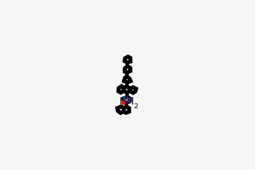 C=C(/C=C\C(=C/N)c1c2ccccc2c(-c2ccc(-c3ccc(-c4ccccc4)cc3)cc2)c2ccccc12)c1cccc2ccccc12